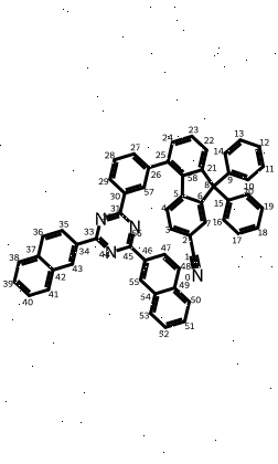 N#Cc1ccc2c(c1)C(c1ccccc1)(c1ccccc1)c1cccc(-c3cccc(-c4nc(-c5ccc6ccccc6c5)nc(-c5ccc6ccccc6c5)n4)c3)c1-2